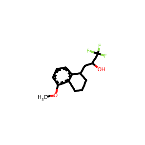 COc1cccc2c1CCCC2CC(O)C(F)(F)F